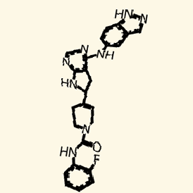 O=C(Nc1ccccc1F)N1CC=C(C2Cc3c(Nc4ccc5[nH]ncc5c4)ncnc3N2)CC1